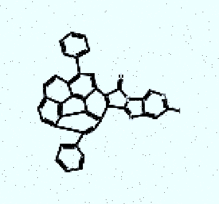 O=c1c2c3cc(-c4ccccc4)c4ccc5ccc6c(-c7ccccc7)cc(c7c6c5c4c37)c2c2nc3cc(I)ncc3n12